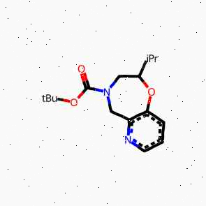 CC(C)C1CN(C(=O)OC(C)(C)C)Cc2ncccc2O1